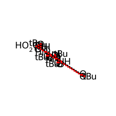 CC(C)(C)OC(=O)CCCCCCCCCCCCCCCCCCC(=O)N[C@@H](CCC(=O)N[C@@H](CCC(=O)N[C@@H](CCC(=O)NCCCC[C@H](NC(=O)OC(C)(C)C)C(=O)NCC(=O)O)C(=O)OC(C)(C)C)C(=O)OC(C)(C)C)C(=O)OC(C)(C)C